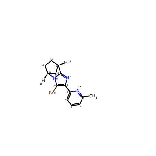 Cc1cccc(-c2nc3n(c2Br)[C@@H]2CC[C@H]3C2)n1